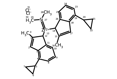 CC1=Cc2c(C3CC3)cccc2[CH]1[Zr+2]([CH]1C(C)=Cc2c(C3CC3)cccc21)=[Si](C)C.[Cl-].[Cl-]